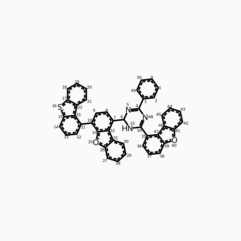 c1ccc(C2=NC(c3ccc(-c4cccc5sc6ccccc6c45)c4oc5ccccc5c34)NC(c3cccc4oc5ccccc5c34)=N2)cc1